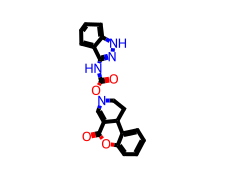 O=C(Nc1n[nH]c2ccccc12)ON1C=C2C(=O)Oc3ccccc3C2CC1